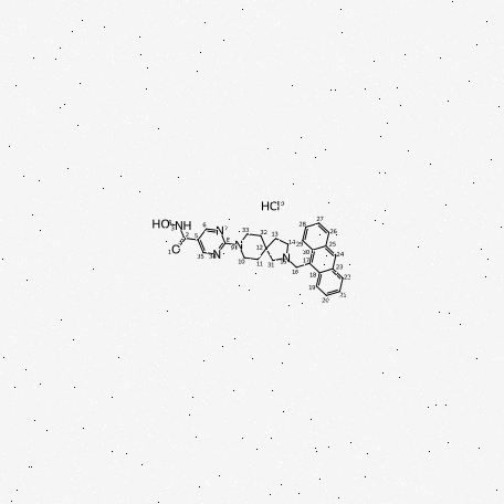 Cl.O=C(NO)c1cnc(N2CCC3(CCN(Cc4c5ccccc5cc5ccccc45)C3)CC2)nc1